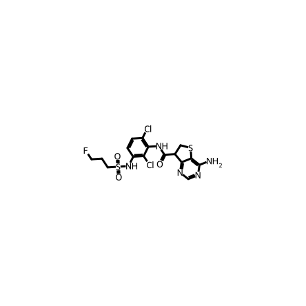 Nc1ncnc2c1SCC2C(=O)Nc1c(Cl)ccc(NS(=O)(=O)CCCF)c1Cl